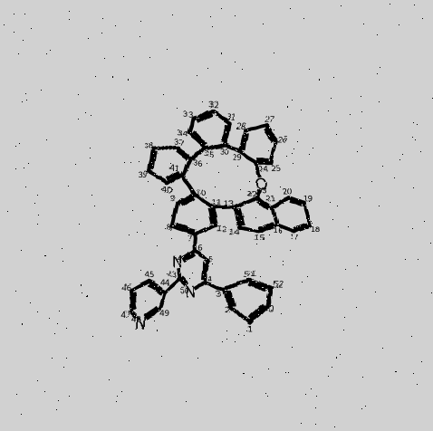 c1ccc(-c2cc(-c3ccc4c(c3)-c3ccc5ccccc5c3Oc3ccccc3-c3ccccc3-c3ccccc3-4)nc(-c3cccnc3)n2)cc1